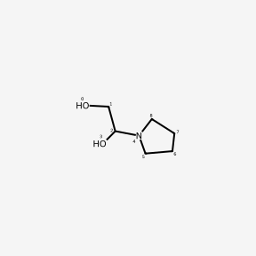 OCC(O)N1CCCC1